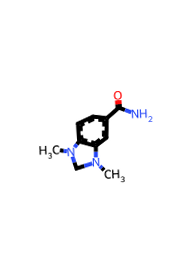 CN1CN(C)c2cc(C(N)=O)ccc21